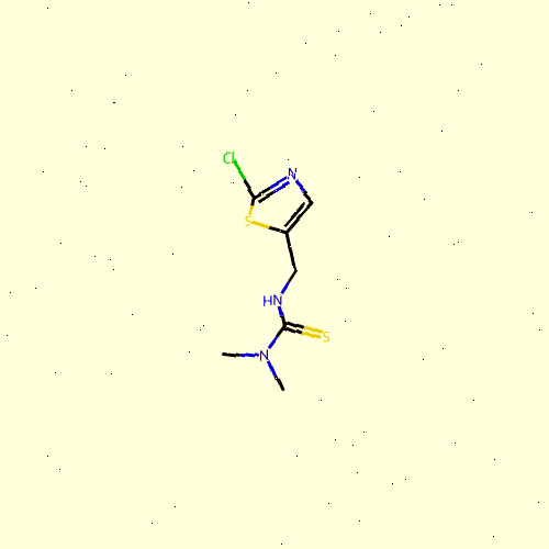 CN(C)C(=S)NCc1cnc(Cl)s1